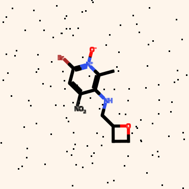 Cc1c(NCC2CCO2)c([N+](=O)[O-])cc(Br)[n+]1[O-]